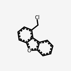 ClCc1cccc2oc3ccccc3c12